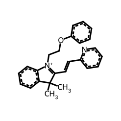 CC1(C)C(C=Cc2ccccn2)=[N+](CCOc2ccccc2)c2ccccc21